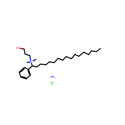 CCCCCCCCCCCCCCCCC(c1ccccc1)[N+](C)(C)CCCO.Cl.N.[Cl-]